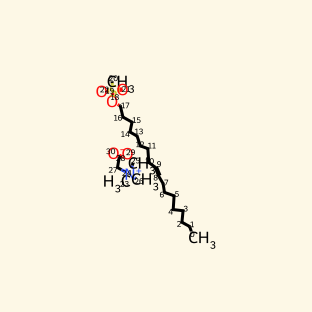 CCCCCCCC/C=C/CCCCCCCCOS(C)(=O)=O.C[N+](C)(C)CC(=O)[O-]